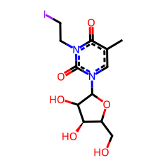 Cc1cn(C2OC(CO)[C@@H](O)C2O)c(=O)n(CCI)c1=O